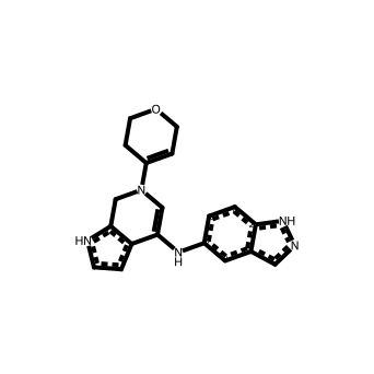 C1=C(Nc2ccc3[nH]ncc3c2)c2cc[nH]c2CN1C1=CCOCC1